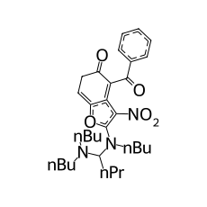 CCCCN(CCCC)C(CCC)N(CCCC)c1oc2c(c1[N+](=O)[O-])=C(C(=O)c1ccccc1)C(=O)CC=2